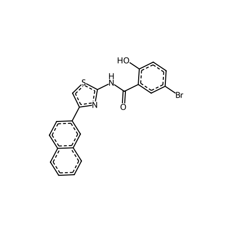 O=C(Nc1nc(-c2ccc3ccccc3c2)cs1)c1cc(Br)ccc1O